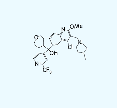 COc1nc2ccc(C(O)(c3ccnc(C(F)(F)F)c3)C3CCOCC3)cc2c(Cl)c1CN1CCC(C)CC1